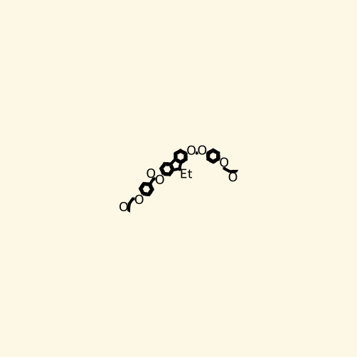 CCC1c2cc(OCOc3ccc(OCC4CO4)cc3)ccc2-c2ccc(OC(=O)c3ccc(OCC4CO4)cc3)cc21